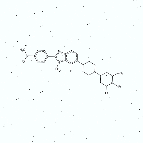 CCC1CC(N2CCC(c3ccc4nc(-c5ccc([S+](C)[O-])cc5)n(C)c4c3F)CC2)CC(C)N1C(C)C